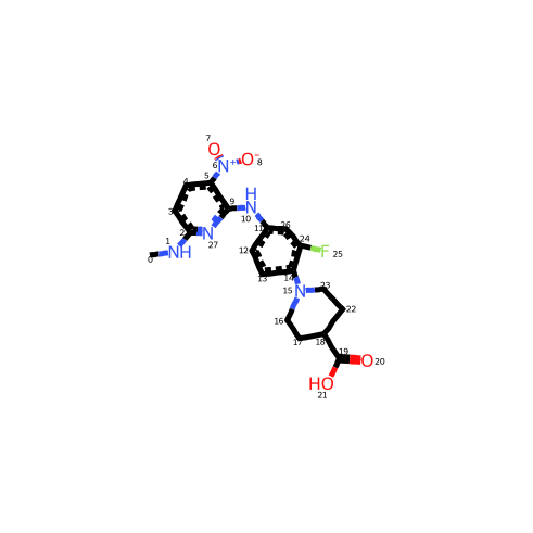 CNc1ccc([N+](=O)[O-])c(Nc2ccc(N3CCC(C(=O)O)CC3)c(F)c2)n1